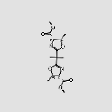 COC(=O)[C@H]1N=C(C(C)(C)C2=N[C@H](C(=O)OC)[C@@H](C)O2)O[C@@H]1C